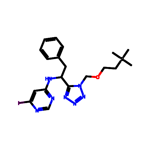 C[Si](C)(C)CCOCn1nnnc1C(Cc1ccccc1)Nc1cc(I)ncn1